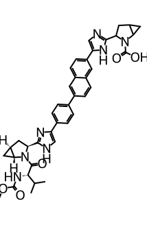 COC(=O)N[C@H](C(=O)N1[C@@H]2C[C@H]2C[C@H]1c1nc(-c2ccc(-c3ccc4cc(-c5cnc(C6CC7CC7N6C(=O)O)[nH]5)ccc4c3)cc2)c[nH]1)C(C)C